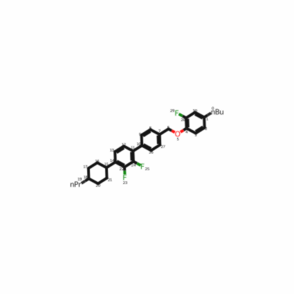 CCCCc1ccc(OCc2ccc(-c3ccc(C4CCC(CCC)CC4)c(F)c3F)cc2)c(F)c1